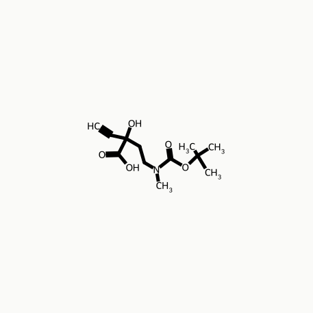 C#CC(O)(CCN(C)C(=O)OC(C)(C)C)C(=O)O